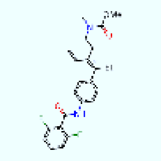 C=C/C(CCN(C)C(=O)OC)=C(/CC)c1ccc(NC(=O)c2c(F)cccc2F)cc1